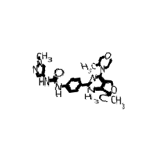 CC1COCCN1c1nc(-c2ccc(NC(=O)Nc3cnn(C)c3)cc2)nc2c1COC2(C)C